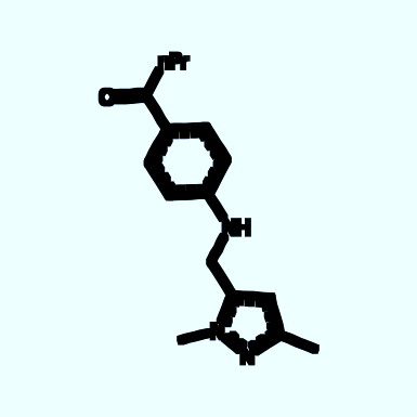 CCCC(=O)c1ccc(NCc2cc(C)nn2C)cc1